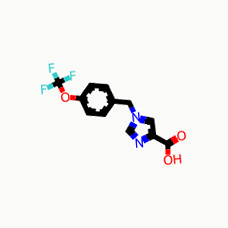 O=C(O)c1cn(Cc2ccc(OC(F)(F)F)cc2)cn1